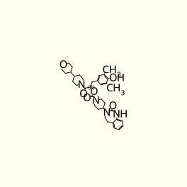 Cc1cc(C[C@@H](OC(=O)N2CCC(N3CCc4ccccc4NC3=O)CC2)C(=O)N2CCC(C3CCOCC3)CC2)cc(C)c1O